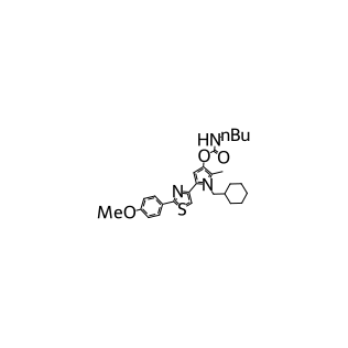 CCCCNC(=O)Oc1cc(-c2csc(-c3ccc(OC)cc3)n2)n(CC2CCCCC2)c1C